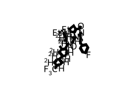 [2H]c1c([2H])c(C(F)(F)F)c([2H])c([2H])c1-c1c([2H])c([2H])c(C([2H])([2H])N(C(=O)C([2H])([2H])n2c(SCc3ccc(F)cc3)nc(=O)c3c2CCC3)C([2H])([2H])C([2H])([2H])N(CC)CC)c(C)c1[2H]